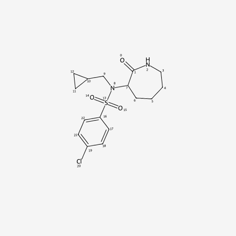 O=C1NCCCCC1N(CC1CC1)S(=O)(=O)c1ccc(Cl)cc1